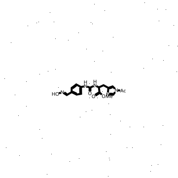 COC(=O)C(Cc1cn(C(C)=O)cn1)NC(=O)Nc1ccc(C=NO)cc1